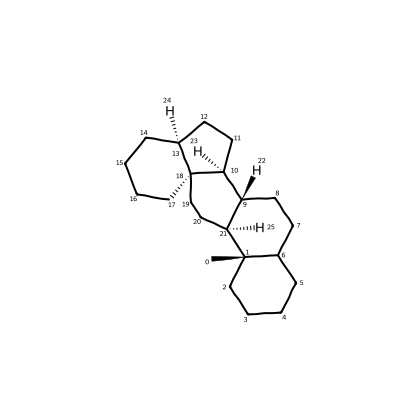 C[C@]12CCCCC1CC[C@H]1[C@@H]3CC[C@@H]4CCCC[C@]43CC[C@@H]12